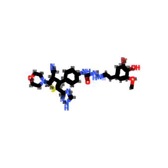 COc1cc(C/C=N/NC(=O)Nc2ccc(-c3c(-c4nc[nH]n4)sc(N4CCOCC4)c3C#N)cc2)cc(Br)c1O